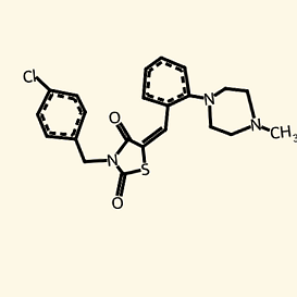 CN1CCN(c2ccccc2C=C2SC(=O)N(Cc3ccc(Cl)cc3)C2=O)CC1